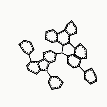 c1ccc(-c2ccc(N(c3ccc4c5c(-c6ccccc6)cccc5n(-c5ccccc5)c4c3)c3c(-c4ccccc4)c4ccccc4c4ccccc34)cc2)cc1